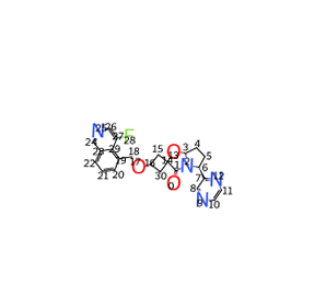 O=C1N2C(CC[C@H]2c2cnccn2)OC12CC(OCc1cccc3cncc(F)c13)C2